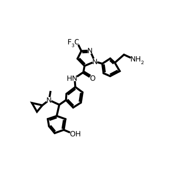 CN(C1CC1)C(c1cccc(O)c1)c1cccc(NC(=O)c2cc(C(F)(F)F)nn2-c2cccc(CN)c2)c1